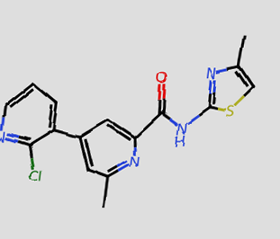 Cc1cc(-c2cccnc2Cl)cc(C(=O)Nc2nc(C)cs2)n1